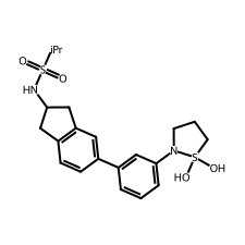 CC(C)S(=O)(=O)NC1Cc2ccc(-c3cccc(N4CCCS4(O)O)c3)cc2C1